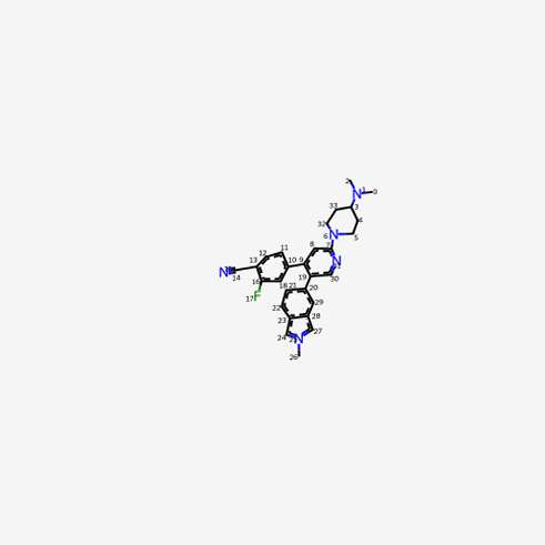 CN(C)C1CCN(c2cc(-c3ccc(C#N)c(F)c3)c(-c3ccc4cn(C)cc4c3)cn2)CC1